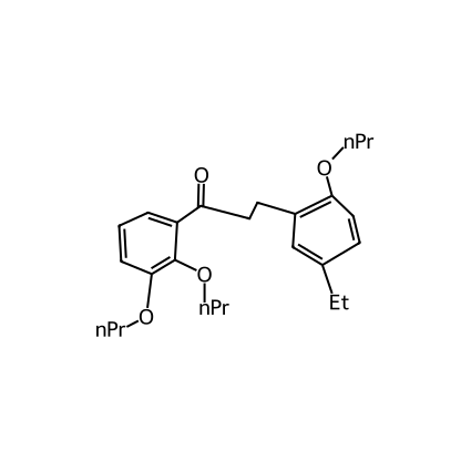 CCCOc1ccc(CC)cc1CCC(=O)c1cccc(OCCC)c1OCCC